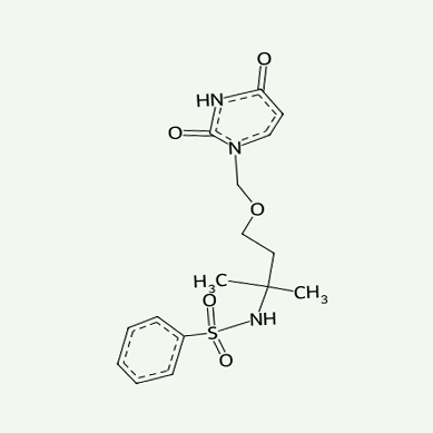 CC(C)(CCOCn1ccc(=O)[nH]c1=O)NS(=O)(=O)c1ccccc1